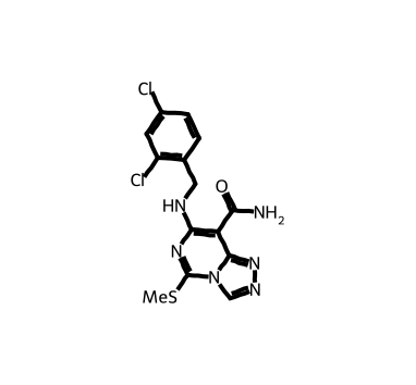 CSc1nc(NCc2ccc(Cl)cc2Cl)c(C(N)=O)c2nncn12